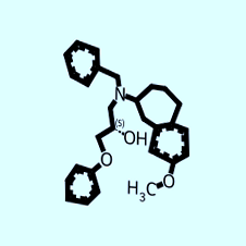 COc1ccc2c(c1)CC(N(Cc1ccccc1)C[C@H](O)COc1ccccc1)CCC2